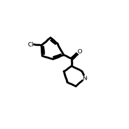 O=C(c1ccc(Cl)cc1)C1CCC[N]C1